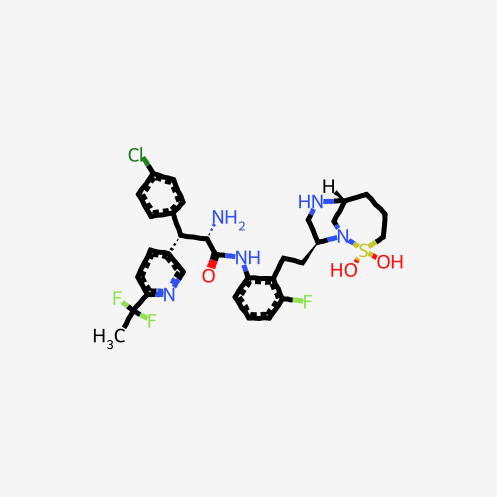 CC(F)(F)c1ccc([C@H](c2ccc(Cl)cc2)[C@H](N)C(=O)Nc2cccc(F)c2CC[C@H]2CN[C@@H]3CCCS(O)(O)N2C3)cn1